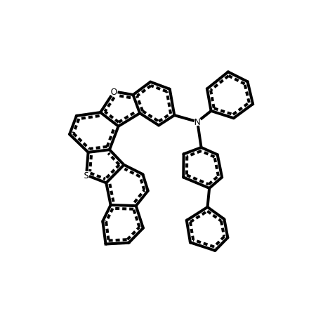 c1ccc(-c2ccc(N(c3ccccc3)c3ccc4oc5ccc6sc7c8ccccc8ccc7c6c5c4c3)cc2)cc1